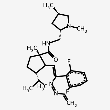 C=C/N=N\C(=C/C1[C@H](C(C)C)CC[C@]1(C)C(=O)NC[C@@H]1C[C@@H](C)CN1C)c1c(F)cccc1F